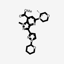 COC(=O)c1cc(N2CCOC[C@H]2C)nc2c(-c3ccn(C4CCCCO4)n3)nn(C)c12